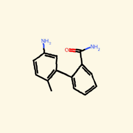 Cc1ccc(N)cc1-c1ccccc1C(N)=O